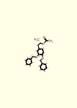 CC(=O)O[C@@H](C)Cc1ccc(OCc2ccccc2)c(OCc2ccccc2)c1